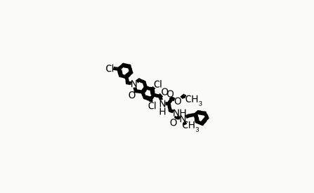 CCOC(=O)C(CNC(=O)N(C)Cc1ccccc1)NC(=O)c1c(Cl)cc2c(c1Cl)CCN(Cc1cccc(Cl)c1)C2=O